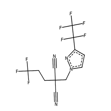 N#CC(C#N)(CCC(F)(F)F)Cn1ccc(C(F)(F)C(F)(F)F)n1